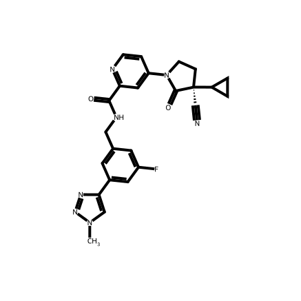 Cn1cc(-c2cc(F)cc(CNC(=O)c3cc(N4CC[C@@](C#N)(C5CC5)C4=O)ccn3)c2)nn1